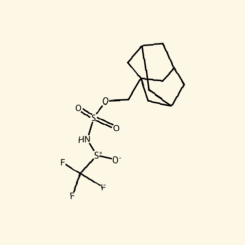 O=S(=O)(N[S+]([O-])C(F)(F)F)OCC12CC3CC(CC(C3)C1)C2